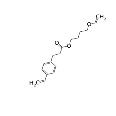 C=COCCCCOC(=O)CCc1ccc(C=C)cc1